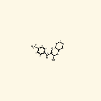 CCC(CC1CCCCC1)C(=O)Nc1ccc(C)cc1